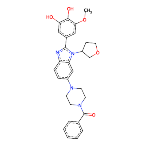 COc1cc(-c2nc3ccc(N4CCN(C(=O)c5ccccc5)CC4)cc3n2C2CCOC2)cc(O)c1O